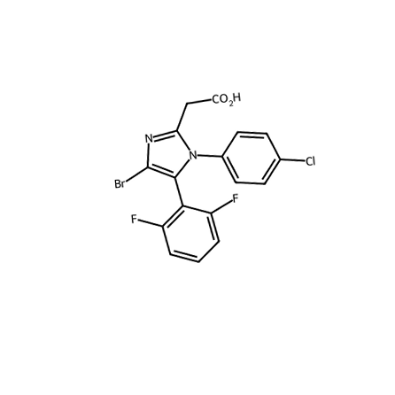 O=C(O)Cc1nc(Br)c(-c2c(F)cccc2F)n1-c1ccc(Cl)cc1